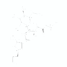 CCC[C@@H]1C[C@@H](C(=O)N[C@H]([C@H](C)NC(=O)CNC)[C@H]2OC(SC)[C@H](O)C(O)C2O)N(C)C1